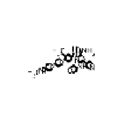 CCc1cc(Nc2nc(NC3CCOCC3)c(-c3ccncc3)nc2C(N)=O)ccc1N1CCC(N2CCC3(CC2)CN(C)C3)CC1